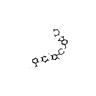 CNC(=O)c1ccccc1Nc1cc(Nc2cc(C)c(C3CCN(Cc4ccc5c(c4)C(=O)N(C4CCC(=O)NC4=O)C5=O)CC3)cc2OC(C)C)ncc1C(F)(F)F